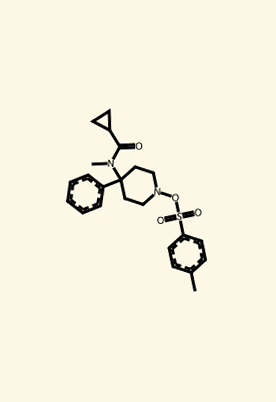 Cc1ccc(S(=O)(=O)ON2CCC(c3ccccc3)(N(C)C(=O)C3CC3)CC2)cc1